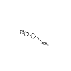 COCCCC1CCC(c2ccc(OC)cc2)CC1